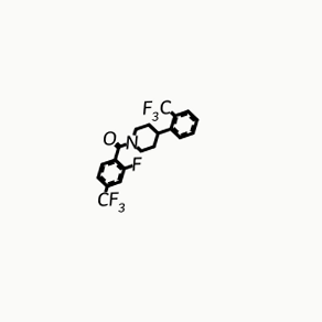 O=C(c1ccc(C(F)(F)F)cc1F)N1CCC(c2ccccc2C(F)(F)F)CC1